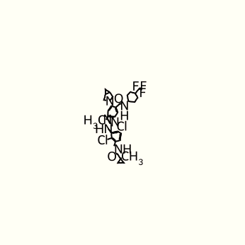 Cn1c(Nc2c(Cl)ccc(CNC(=O)C3(C)CC3)c2Cl)nc2cc(C(=O)NC3CCC(C(F)(F)F)CC3)c(N3CC4CC4C3)cc21